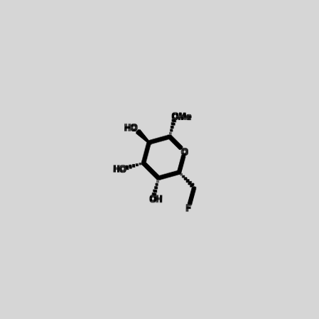 CO[C@@H]1O[C@H](CF)[C@H](O)[C@H](O)[C@H]1O